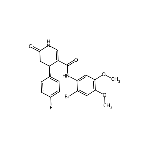 COc1cc(Br)c(NC(=O)C2=CNC(=O)C[C@@H]2c2ccc(F)cc2)cc1OC